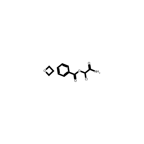 C1COC1.NC(=O)C(Cl)OC(=O)c1ccccc1